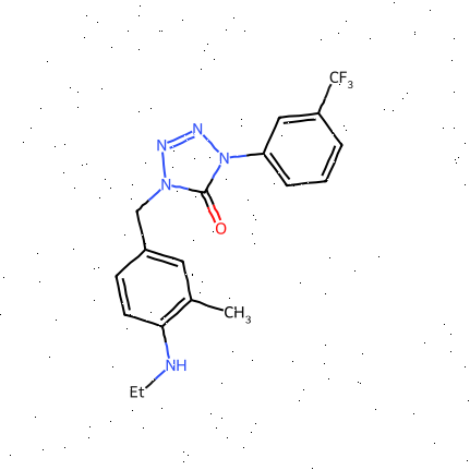 CCNc1ccc(Cn2nnn(-c3cccc(C(F)(F)F)c3)c2=O)cc1C